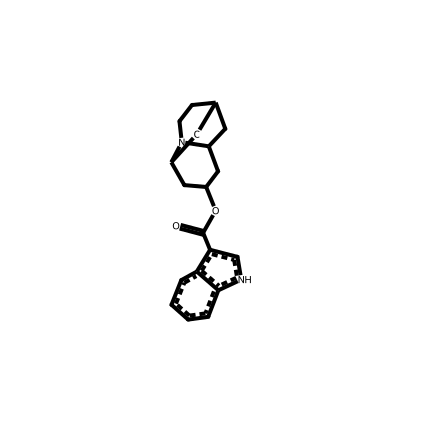 O=C(OC1CC2CC3CCN2C(C3)C1)c1c[nH]c2ccccc12